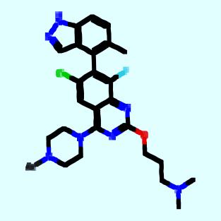 CC(=O)N1CCN(c2nc(OCCCN(C)C)nc3c(F)c(-c4c(C)ccc5[nH]ncc45)c(Cl)cc23)CC1